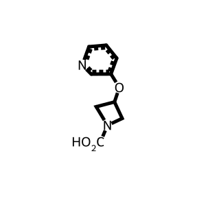 O=C(O)N1CC(Oc2cccnc2)C1